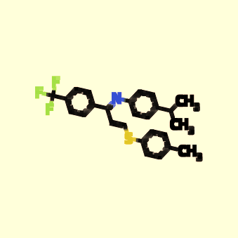 Cc1ccc(SC=CC(=Nc2ccc(C(C)C)cc2)c2ccc(C(F)(F)F)cc2)cc1